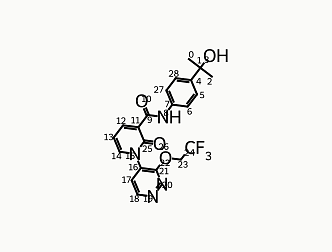 CC(C)(O)c1ccc(NC(=O)c2cccn(-c3ccnnc3OCC(F)(F)F)c2=O)cc1